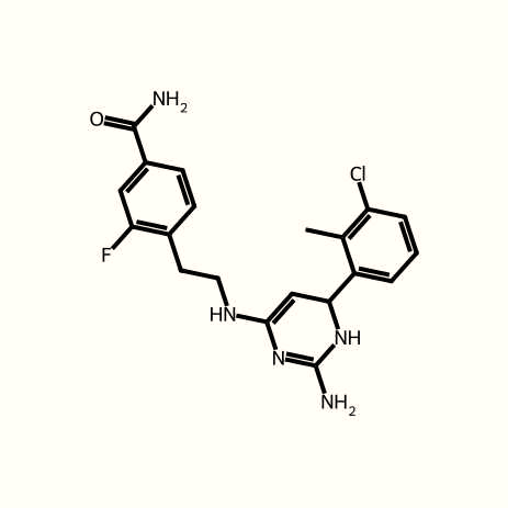 Cc1c(Cl)cccc1C1C=C(NCCc2ccc(C(N)=O)cc2F)N=C(N)N1